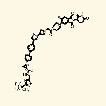 CC(C)(c1n[nH]c(CNC(=O)[C@H]2C[C@@H]2c2ccc(-c3ccc(-c4cnn(C5CN(CC(=O)N6CCN(c7cc8c(cc7F)C(=O)N(C7CCC(=O)NC7=O)C8=O)CC6)C5)c4)cc3)cc2)n1)C(F)(F)F